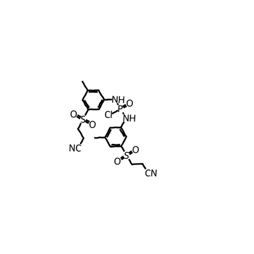 Cc1cc(NP(=O)(Cl)Nc2cc(C)cc(S(=O)(=O)CCC#N)c2)cc(S(=O)(=O)CCC#N)c1